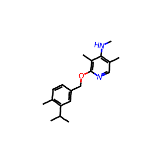 CNc1c(C)cnc(OCc2ccc(C)c(C(C)C)c2)c1C